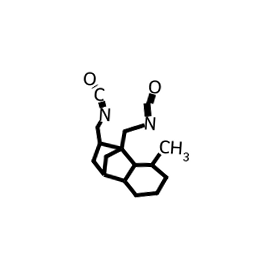 CC1CCCC2C3CC(CN=C=O)C(CN=C=O)(C3)C12